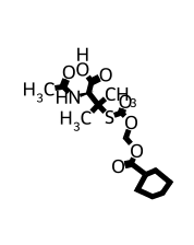 CC(=O)N[C@@H](C(=O)O)C(C)(C)SC(=O)OCOC(=O)C1CCCCC1